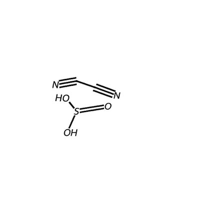 N#CC#N.O=S(O)O